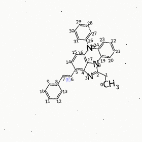 CCc1nc2c(/C=C/c3ccccc3)ccc3c2n1-c1ccccc1N3c1ccccc1